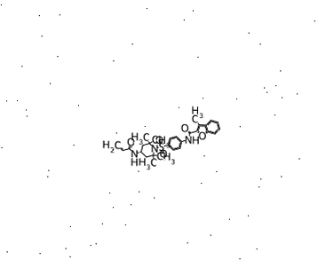 C=CC(=O)NC1CC(C)(C)N(S(=O)(=O)c2ccc(NC(=O)c3oc4ccccc4c3C)cc2)C(C)(C)C1